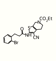 CCOC(=O)N1CCc2c(sc(NC(=O)CCc3ccccc3Br)c2C#N)C1